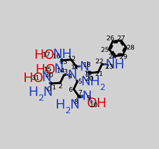 NC(CCN(CCC(N)=NO)C(CC(=NO)NO)N=C(N)CCNc1ccccc1)=NO